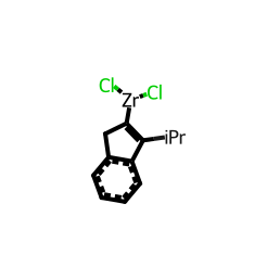 CC(C)C1=[C]([Zr]([Cl])[Cl])Cc2ccccc21